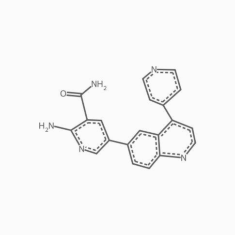 NC(=O)c1cc(-c2ccc3nccc(-c4ccncc4)c3c2)cnc1N